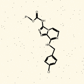 CC(C)OC(=O)Nc1nnc2c(NCc3ccc(Cl)cc3)nccn12